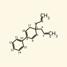 C=CCC1(CC=C)C=CC(c2ccccc2)=CC1